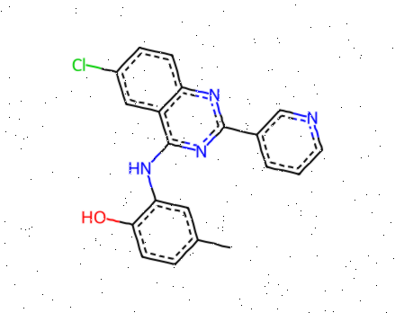 Cc1ccc(O)c(Nc2nc(-c3cccnc3)nc3ccc(Cl)cc23)c1